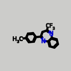 Cc1ccc(C2=Nc3ccccc3N=C(C(F)(F)F)C2)cc1